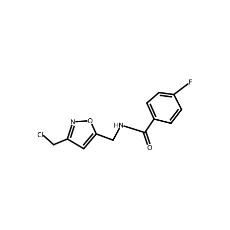 O=C(NCc1cc(CCl)no1)c1ccc(F)cc1